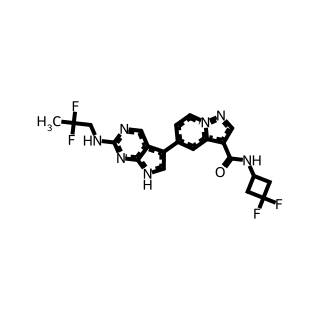 CC(F)(F)CNc1ncc2c(-c3ccn4ncc(C(=O)NC5CC(F)(F)C5)c4c3)c[nH]c2n1